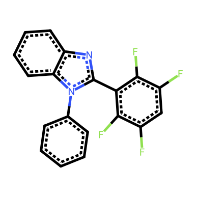 Fc1cc(F)c(F)c(-c2nc3ccccc3n2-c2ccccc2)c1F